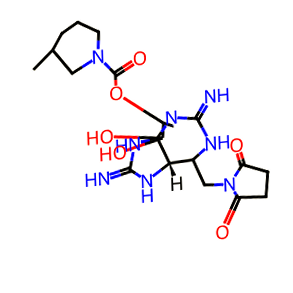 CC1CCCN(C(=O)OC2CN3C(=N)NC(CN4C(=O)CCC4=O)[C@@H]4NC(=N)N[C@@]43C2(O)O)C1